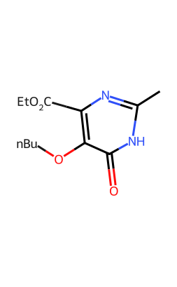 CCCCOc1c(C(=O)OCC)nc(C)[nH]c1=O